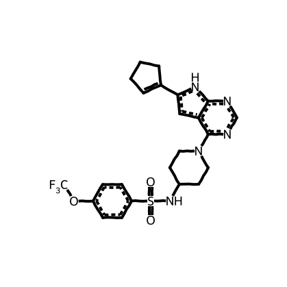 O=S(=O)(NC1CCN(c2ncnc3[nH]c(C4=CCCC4)cc23)CC1)c1ccc(OC(F)(F)F)cc1